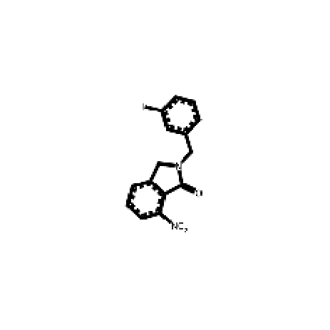 O=C1c2c(cccc2[N+](=O)[O-])CN1Cc1cccc(I)c1